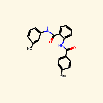 CC(C)(C)c1ccc(C(=O)Nc2ccccc2C(=O)Nc2cccc(C#N)c2)cc1